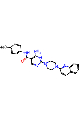 COc1ccc(NC(=O)c2cnc(N3CCN(c4ccc5ccccc5n4)CC3)nc2N)cc1